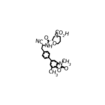 Cc1cc(-c2ccc(C[C@@H](C#N)NC(=O)[C@@H]3CN(C(=O)O)CCCO3)cc2)cc2c1oc(=O)n2C